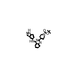 CC(C)(C)OC(=O)N1CC=C(c2nc(Nc3ccc4[nH]ncc4c3)c3ccccc3n2)CC1